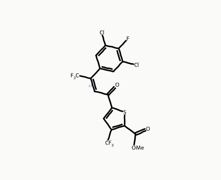 COC(=O)c1sc(C(=O)/C=C(\c2cc(Cl)c(F)c(Cl)c2)C(F)(F)F)cc1C(F)(F)F